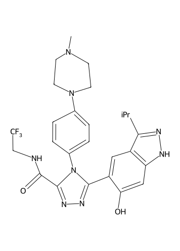 CC(C)c1n[nH]c2cc(O)c(-c3nnc(C(=O)NCC(F)(F)F)n3-c3ccc(N4CCN(C)CC4)cc3)cc12